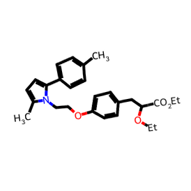 CCOC(=O)C(Cc1ccc(OCCn2c(C)ccc2-c2ccc(C)cc2)cc1)OCC